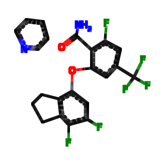 NC(=O)c1c(F)cc(C(F)(F)F)cc1Oc1cc(F)c(F)c2c1CCC2.c1ccncc1